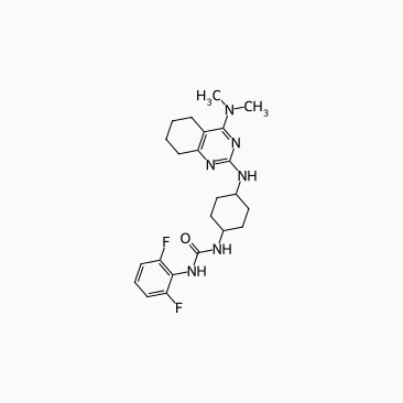 CN(C)c1nc(NC2CCC(NC(=O)Nc3c(F)cccc3F)CC2)nc2c1CCCC2